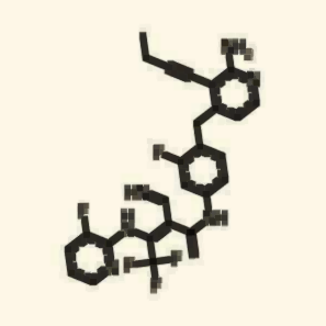 C=C(Nc1ccc(Cc2ccnc(N)c2C#CCC)c(F)c1)/C(C=N)=C(/Nc1ncccc1F)C(F)(F)F